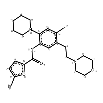 O=C(Nc1cc(CCN2CCOCC2)c(F)cc1N1CCCCC1)c1ccc(Br)o1